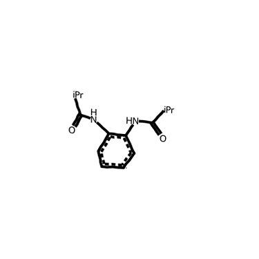 CC(C)C(=O)Nc1c[c]ccc1NC(=O)C(C)C